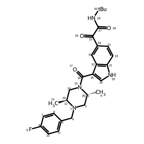 C[C@@H]1CN(Cc2ccc(F)cc2)[C@@H](C)CN1C(=O)c1c[nH]c2ccc(C(=O)C(=O)NC(C)(C)C)cc12